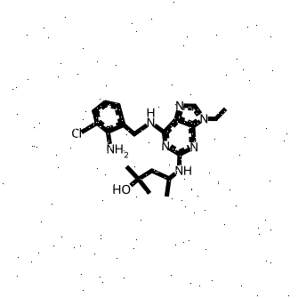 CCn1cnc2c(NCc3cccc(Cl)c3N)nc(NC(C)CC(C)(C)O)nc21